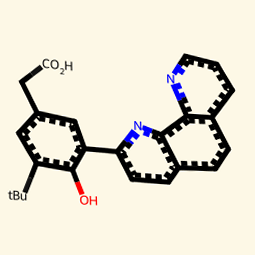 CC(C)(C)c1cc(CC(=O)O)cc(-c2ccc3ccc4cccnc4c3n2)c1O